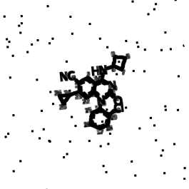 N#Cc1cc2c(NC3CCC3)nc(=O)n(-c3ccccc3Cl)c2cc1C1CC1